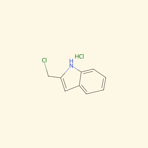 Cl.ClCc1cc2ccccc2[nH]1